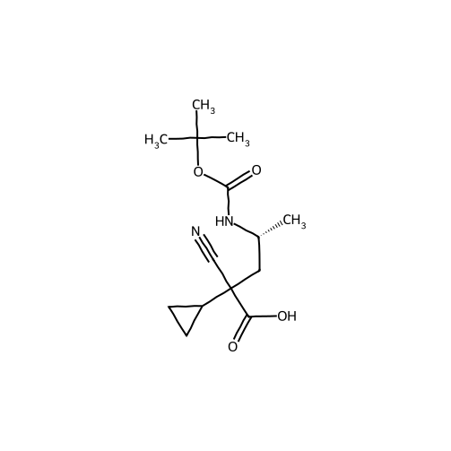 C[C@H](CC(C#N)(C(=O)O)C1CC1)NC(=O)OC(C)(C)C